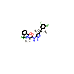 C[C@H](NC(=O)c1ccccc1C(F)(F)F)C(=O)Nc1cc(C(C)(C)c2cc(F)cc(F)c2)n[nH]1